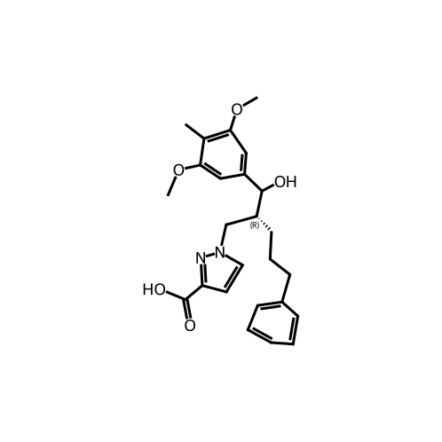 COc1cc(C(O)[C@H](CCCc2ccccc2)Cn2ccc(C(=O)O)n2)cc(OC)c1C